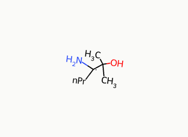 CCC[C](N)C(C)(C)O